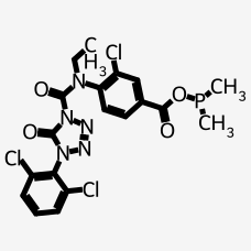 CCN(C(=O)n1nnn(-c2c(Cl)cccc2Cl)c1=O)c1ccc(C(=O)OP(C)C)cc1Cl